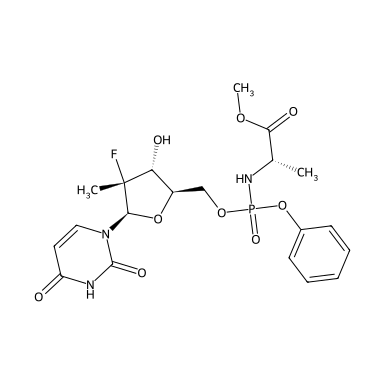 COC(=O)[C@H](C)NP(=O)(OC[C@H]1O[C@@H](n2ccc(=O)[nH]c2=O)[C@](C)(F)[C@@H]1O)Oc1ccccc1